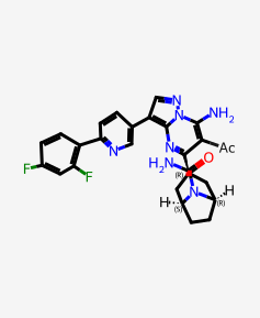 CC(=O)c1c([C@H]2C[C@H]3CC[C@@H](C2)N3C(N)=O)nc2c(-c3ccc(-c4ccc(F)cc4F)nc3)cnn2c1N